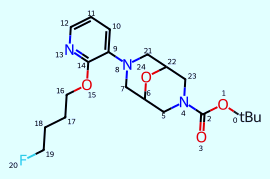 CC(C)(C)OC(=O)N1CC2CN(c3cccnc3OCCCCF)CC(C1)O2